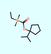 CCS(C)(C)C(=O)OC1(C(C)C)CCCC1